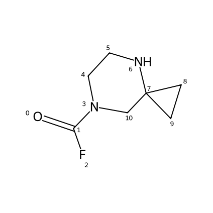 O=C(F)N1CCNC2(CC2)C1